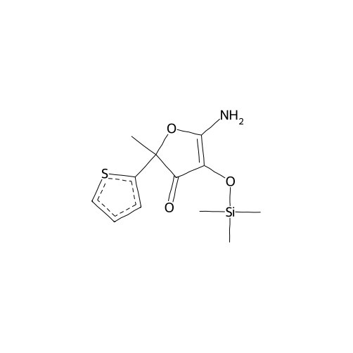 CC1(c2cccs2)OC(N)=C(O[Si](C)(C)C)C1=O